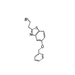 BrCCc1nc2cc(OCc3ccccc3)ccc2s1